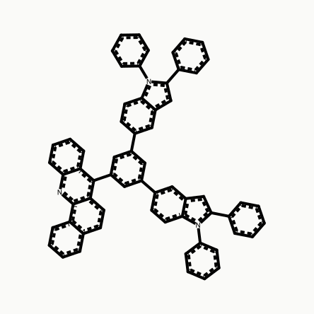 c1ccc(-c2cc3cc(-c4cc(-c5ccc6c(c5)cc(-c5ccccc5)n6-c5ccccc5)cc(-c5c6ccccc6nc6c5ccc5ccccc56)c4)ccc3n2-c2ccccc2)cc1